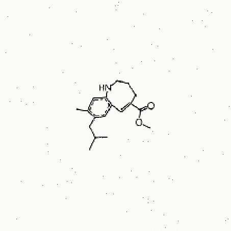 COC(=O)C1=Cc2cc(CC(C)C)c(C)cc2NCCC1